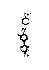 CCCc1ncc(-c2ccc(OC[C@H]3CC[C@H](CCC)CC3)c(C)c2)cn1